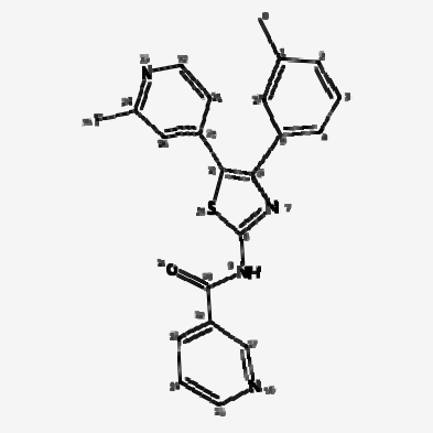 Cc1cccc(-c2nc(NC(=O)c3cccnc3)sc2-c2ccnc(F)c2)c1